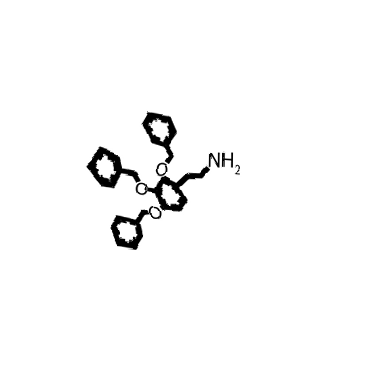 NCCc1ccc(OCc2ccccc2)c(OCc2ccccc2)c1OCc1ccccc1